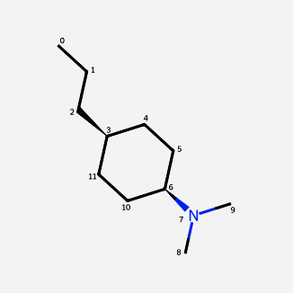 CCC[C@H]1CC[C@@H](N(C)C)CC1